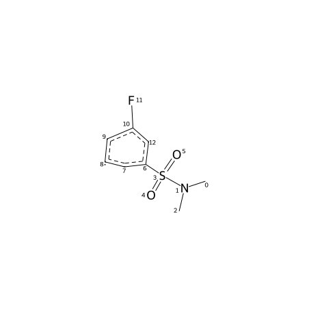 CN(C)S(=O)(=O)c1c[c]cc(F)c1